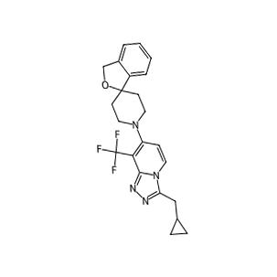 FC(F)(F)c1c(N2CCC3(CC2)OCc2ccccc23)ccn2c(CC3CC3)nnc12